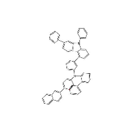 c1ccc(-c2ccc3c4c(-c5cccc(N(c6ccc(-c7ccc8ccccc8c7)cc6)c6ccccc6-c6ccccc6)c5)cccc4n(-c4ccccc4)c3c2)cc1